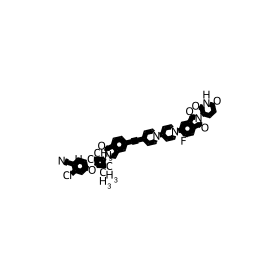 CC1(C)C(Oc2ccc(C#N)c(Cl)c2)C(C)(C)C1N1Cc2cc(C#CC3CCN(C4CCN(c5cc6c(cc5F)C(=O)N(C5CCC(=O)NC5=O)C6=O)CC4)CC3)ccc2C1=O